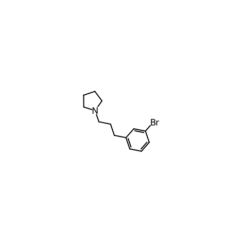 Brc1cccc(CCCN2CCCC2)c1